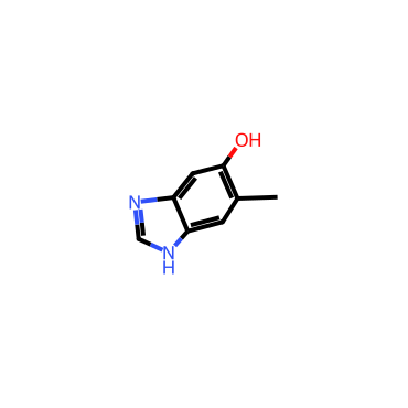 Cc1cc2[nH]cnc2cc1O